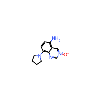 Nc1ccc(N2CCCC2)c2nc[n+]([O-])cc12